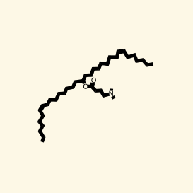 CCCCCC/C=C\CCCCCCCCC(CCCCCCCC/C=C\CCCCCC)OC(=O)CCCN(C)C